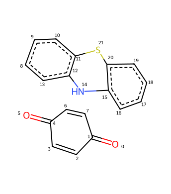 O=C1C=CC(=O)C=C1.c1ccc2c(c1)Nc1ccccc1S2